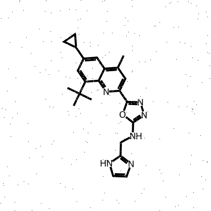 Cc1cc(-c2nnc(NCc3ncc[nH]3)o2)nc2c(C(C)(C)C)cc(C3CC3)cc12